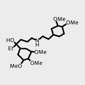 CCC(O)(CCCNCCC1CCC(OC)C(OC)C1)C1CC(OC)C(OC)C(OC)C1